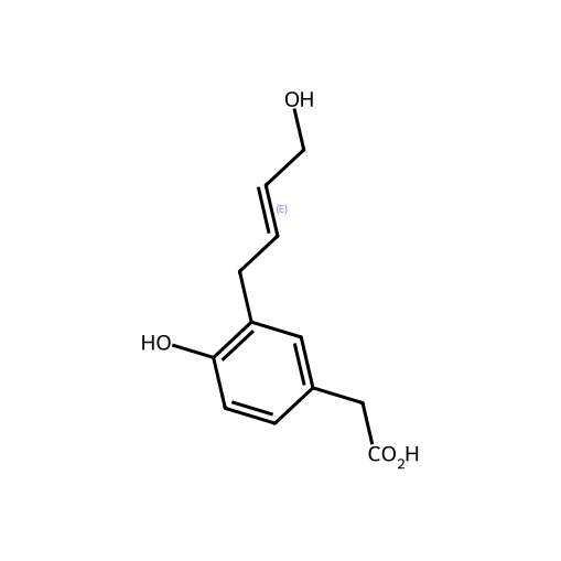 O=C(O)Cc1ccc(O)c(C/C=C/CO)c1